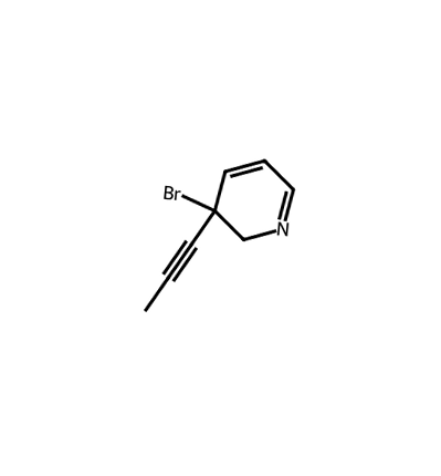 CC#CC1(Br)C=CC=NC1